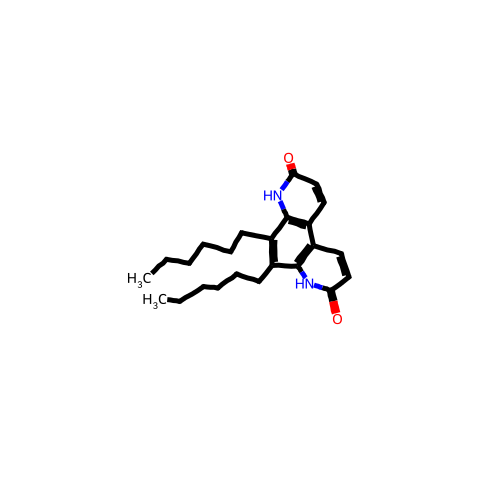 CCCCCCc1c(CCCCCC)c2[nH]c(=O)ccc2c2ccc(=O)[nH]c12